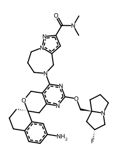 CN(C)C(=O)c1cc2n(n1)CCCN(c1nc(OC[C@@]34CCCN3C[C@H](F)C4)nc3c1CO[C@@]1(CCCc4ccc(N)cc41)C3)C2